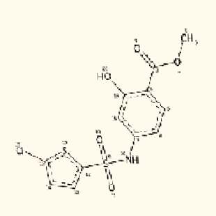 COC(=O)c1ccc(NS(=O)(=O)c2ccc(Cl)s2)cc1O